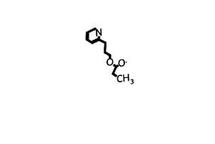 CCC([O])OCCCc1ccccn1